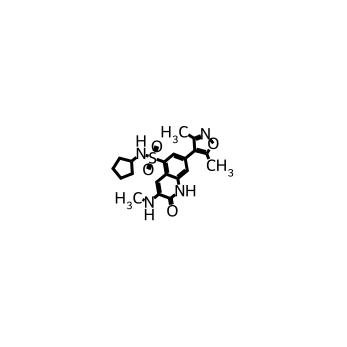 CNc1cc2c(S(=O)(=O)NC3CCCC3)cc(-c3c(C)noc3C)cc2[nH]c1=O